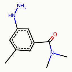 Cc1cc(NN)cc(C(=O)N(C)C)c1